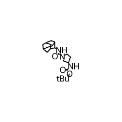 CC(C)(C)OC(=O)N[C@@H]1CCN(C(=O)NC2C3CC4CC(C3)CC2C4)C1